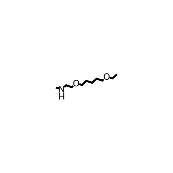 CCOCCCCCOCCNC